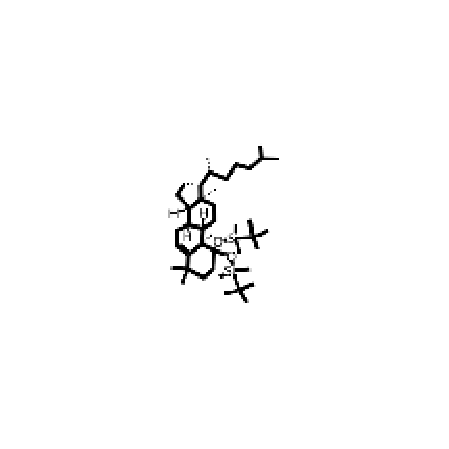 CC(C)CCC[C@@H](C)[C@H]1CC[C@H]2[C@@H]3CC=C4C(C)(C)CCC(O[Si](C)(C)C(C)(C)C)(O[Si](C)(C)C(C)(C)C)[C@]4(C)[C@H]3CC[C@]12C